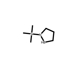 C[Si](C)(C)N1BCCC1